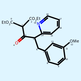 CCOC(=O)C(C(=O)OCC)C(=O)C(Cc1cccc(OC)c1)c1ccccn1